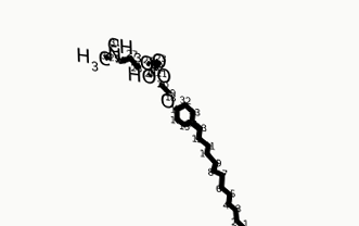 CCCCCCCCCCCCCC=C1CCC(OCCOP(=O)(O)OCCCN(C)C)CC1